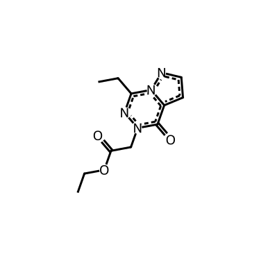 CCOC(=O)Cn1nc(CC)n2nccc2c1=O